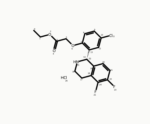 CCOC(=O)COc1ccc(Cl)cc1[C@H]1NCCc2c1ccc(F)c2F.Cl